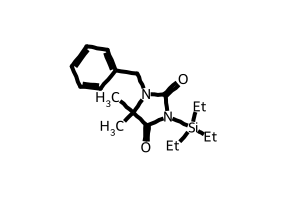 CC[Si](CC)(CC)N1C(=O)N(Cc2ccccc2)C(C)(C)C1=O